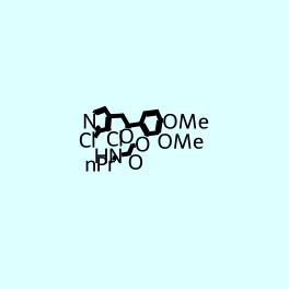 CCCNC(=O)COc1c(C(=O)Cc2ccnc(Cl)c2Cl)ccc(OC)c1OC